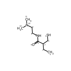 CCC(CS)C(=O)NCCN(C)C